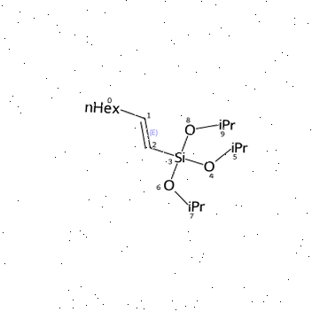 CCCCCC/C=C/[Si](OC(C)C)(OC(C)C)OC(C)C